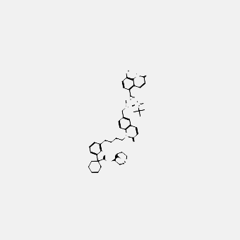 CC(C)(C)[Si](C)(C)O[C@@H](CNCc1ccc2c(ccc(=O)n2CCCCc2cccc(C3(C(=O)OC4CN5CCC4CC5)CCCCC3)c2)c1)c1ccc(O)c2[nH]c(=O)ccc12